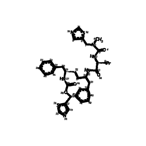 CC(C)[C@H](NC(=O)N(C)Cc1cncs1)C(=O)NC(CC[C@@H](Cc1ccccc1)NC(=O)OCc1cncs1)Cc1ccccc1